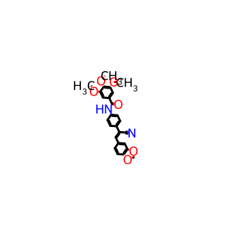 COc1cc(C(=O)Nc2ccc(C(C#N)=Cc3ccc4c(c3)OCO4)cc2)cc(OC)c1OC